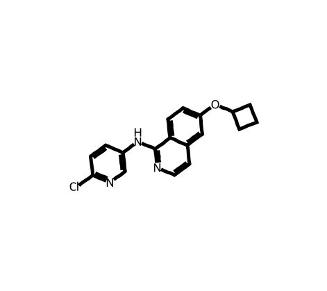 Clc1ccc(Nc2nccc3cc(OC4CCC4)ccc23)cn1